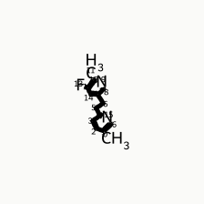 Cc1ccc(CCc2cnc(C)c(F)c2)nc1